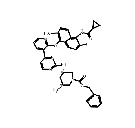 Cc1ccc2c(NC(=O)C3CC3)c(F)ccc2c1Oc1ncccc1-c1ccnc(N[C@H]2C[C@@H](C)CN(C(=O)OCc3ccccc3)C2)n1